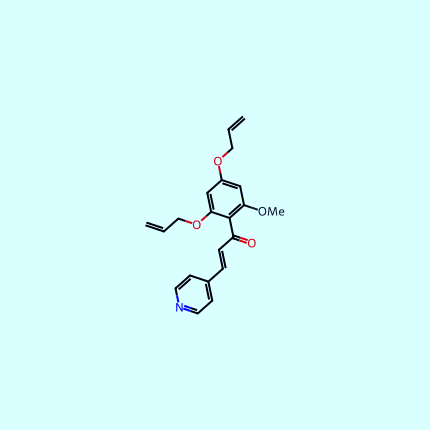 C=CCOc1cc(OC)c(C(=O)C=Cc2ccncc2)c(OCC=C)c1